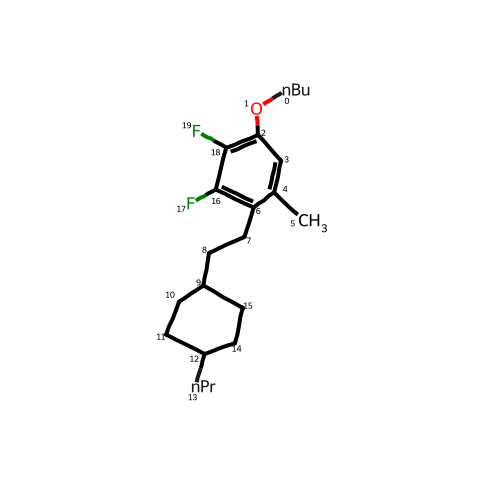 CCCCOc1cc(C)c(CCC2CCC(CCC)CC2)c(F)c1F